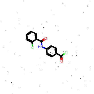 O=C(Cl)c1ccc(NC(=O)c2ccccc2Cl)cc1